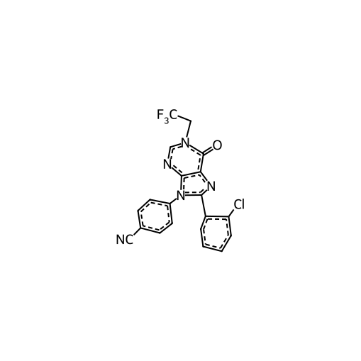 N#Cc1ccc(-n2c(-c3ccccc3Cl)nc3c(=O)n(CC(F)(F)F)cnc32)cc1